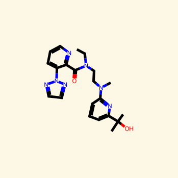 CCN(CCN(C)c1cccc(C(C)(C)O)n1)C(=O)c1ncccc1-n1nccn1